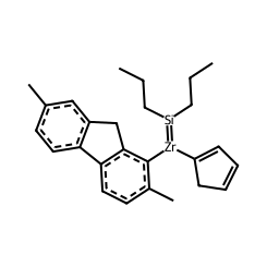 CCC[Si](CCC)=[Zr]([C]1=CC=CC1)[c]1c(C)ccc2c1Cc1cc(C)ccc1-2